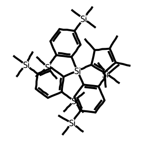 CC1=C(C)C(C)C([Si](c2cc([Si](C)(C)C)ccc2[Si](C)(C)C)(c2cc([Si](C)(C)C)ccc2[Si](C)(C)C)c2cc([Si](C)(C)C)ccc2[Si](C)(C)C)=C1C